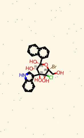 OC[C@]1(Br)O[C@](O)(c2cccc3ccccc23)[C@@H](O)[C@@](O)(c2c[nH]c3ccccc23)[C@@]1(O)Cl